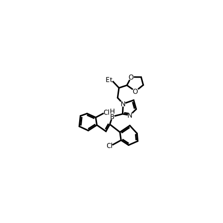 CCC(Cn1ccnc1BC(=Cc1ccccc1Cl)c1ccccc1Cl)C1OCCO1